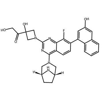 O=C(CO)C1(O)CN(c2nc(N3C[C@H]4CC[C@@H](C3)N4)c3ccc(-c4cc(O)cc5ccccc45)c(F)c3n2)C1